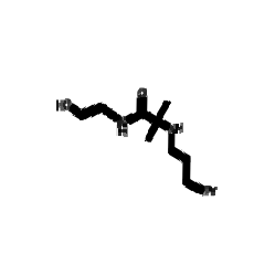 CC(C)CCCNC(C)(C)C(=O)NCCO